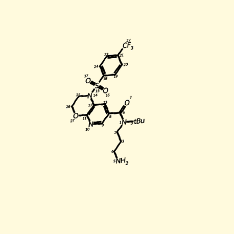 CC(C)(C)N(CCCN)C(=O)c1cnc2c(c1)N(S(=O)(=O)c1ccc(C(F)(F)F)cc1)CCO2